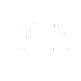 Cc1ncc(COP(=O)(N[C@@H](C)C(=O)OCc2ccccc2)Oc2ccccc2)c(CN)c1O